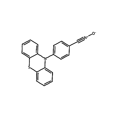 [O-][N+]#Cc1ccc(N2c3ccccc3Sc3ccccc32)cc1